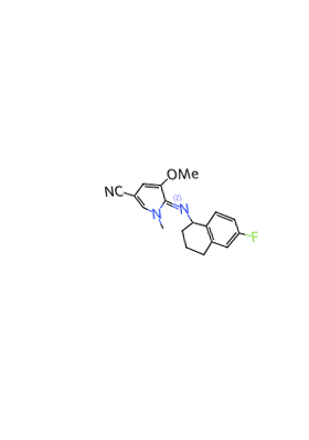 COc1cc(C#N)cn(C)/c1=N\C1CCCc2cc(F)ccc21